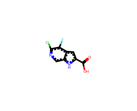 O=C(O)c1cc2c(F)c(Cl)ncc2[nH]1